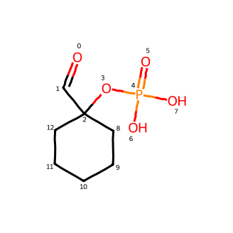 O=CC1(OP(=O)(O)O)CCCCC1